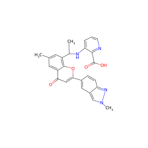 Cc1cc(C(C)Nc2cccnc2C(=O)O)c2oc(-c3ccc4nn(C)cc4c3)cc(=O)c2c1